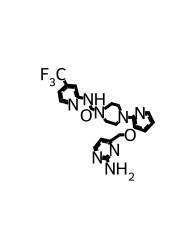 Nc1nccc(COc2cccnc2N2CCN(C(=O)Nc3cc(C(F)(F)F)ccn3)CC2)n1